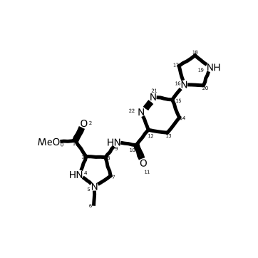 COC(=O)C1NN(C)CC1NC(=O)C1CCC(N2CCNC2)N=N1